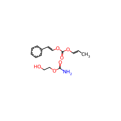 CC=COC(=O)OC=Cc1ccccc1.NC(=O)OCCO